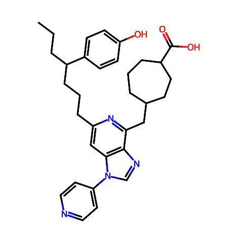 CCCC(CCCc1cc2c(ncn2-c2ccncc2)c(CC2CCCC(C(=O)O)CC2)n1)c1ccc(O)cc1